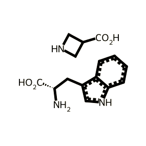 N[C@@H](Cc1c[nH]c2ccccc12)C(=O)O.O=C(O)C1CNC1